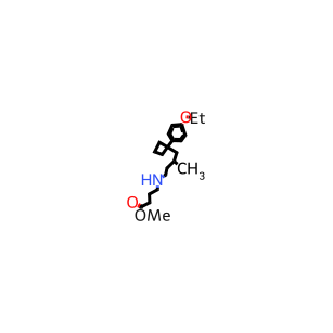 CCOc1ccc(C2(CC(C)CCNCCCC(=O)OC)CCC2)cc1